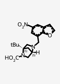 CC(C)(C)[C@]12C[C@@H](CN1C(=O)O)N(Cc1cc([N+](=O)[O-])cc3ccoc13)C2